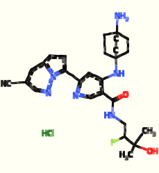 CC(C)(O)C(F)CNC(=O)c1cnc(-c2ccc3cc(C#N)cnn23)cc1NC12CCC(N)(CC1)CC2.Cl